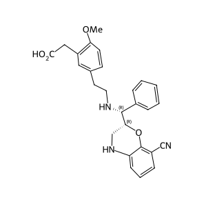 COc1ccc(CCN[C@H](c2ccccc2)[C@H]2CNc3cccc(C#N)c3O2)cc1CC(=O)O